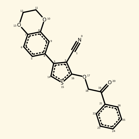 N#Cc1c(-c2ccc3c(c2)OCCO3)csc1OCC(=O)c1ccccc1